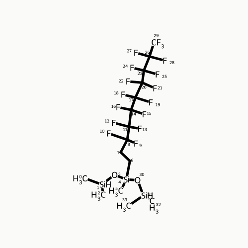 C[SiH](C)O[Si](C)(CCC(F)(F)C(F)(F)C(F)(F)C(F)(F)C(F)(F)C(F)(F)C(F)(F)C(F)(F)F)O[SiH](C)C